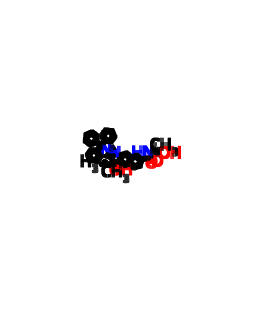 CC(C)C(O)(c1ccc2cc(C(=O)N[C@H](C)C(=O)O)ccc2c1)c1cn(C(c2ccccc2)(c2ccccc2)c2ccccc2)cn1